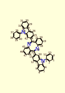 c1ccc(-n2c3ccccc3c3ccc(/C4=N/c5ccccc5/C(c5ccc6c7ccccc7n(-c7ccccc7)c6c5)=N\c5ccccc54)cc32)cc1